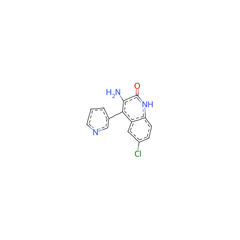 Nc1c(-c2cccnc2)c2cc(Cl)ccc2[nH]c1=O